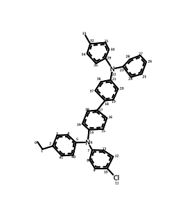 CCc1ccc(N(c2ccc(Cl)cc2)c2ccc(-c3ccc(N(c4ccccc4)c4ccc(C)cc4)cc3)cc2)cc1